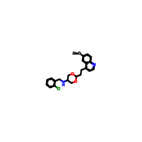 COc1ccc2nccc(CCC3OCC(NCc4ccccc4Cl)CO3)c2c1